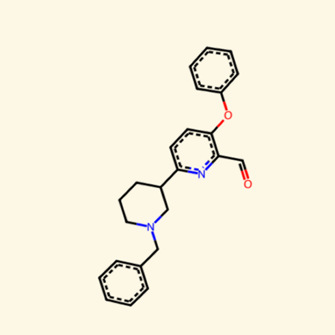 O=Cc1nc(C2CCCN(Cc3ccccc3)C2)ccc1Oc1ccccc1